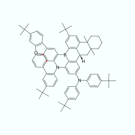 CC(C)(C)c1ccc(N(c2ccc(C(C)(C)C)cc2)c2cc3c4c(c2)N(c2ccc(C(C)(C)C)cc2-c2ccccc2)c2cc5oc6cc(C(C)(C)C)ccc6c5cc2B4c2cc(C(C)(C)C)cc4c2[C@@H]3CC2(C)CCCCC42C)cc1